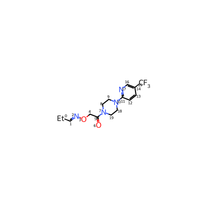 CCC=NOCC(=O)N1CCN(c2ccc(C(F)(F)F)cn2)CC1